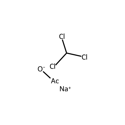 CC(=O)[O-].ClC(Cl)Cl.[Na+]